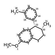 COc1ccc2c(c1)CC[C@@H](C)[C@H]2c1cccc(C)c1